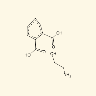 NCCO.O=C(O)c1ccccc1C(=O)O